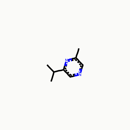 Cc1cncc(C(C)C)n1